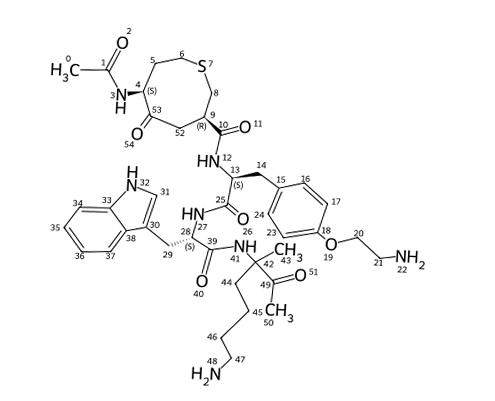 CC(=O)N[C@H]1CCSC[C@@H](C(=O)N[C@@H](Cc2ccc(OCCN)cc2)C(=O)N[C@@H](Cc2c[nH]c3ccccc23)C(=O)NC(C)(CCCCN)C(C)=O)CC1=O